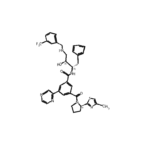 Cc1csc([C@H]2CCCN2C(=O)c2cc(C(=O)N[C@@H](Cc3ccccc3)[C@@H](O)CNCc3cccc(C(F)(F)F)c3)cc(-c3cnccn3)c2)n1